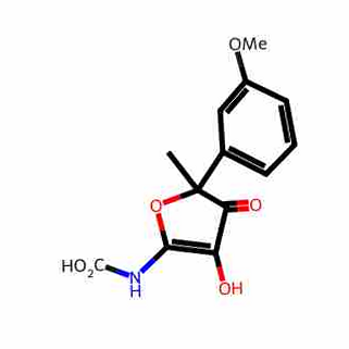 COc1cccc(C2(C)OC(NC(=O)O)=C(O)C2=O)c1